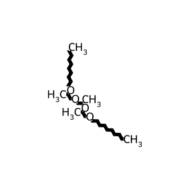 CCCCCCCCCCOCC(C)OC(C)COCC(C)OCCCCCCCCCC